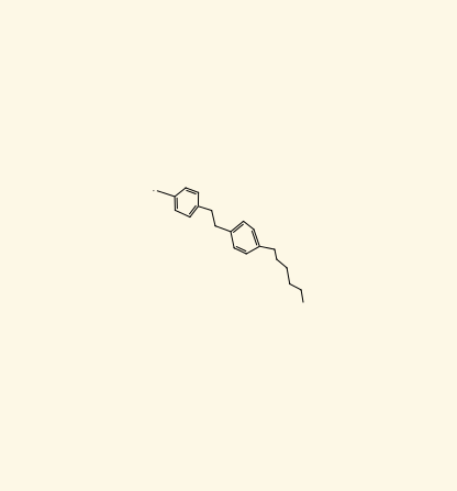 [CH2]c1ccc(CCc2ccc(CCCCCC)cc2)cc1